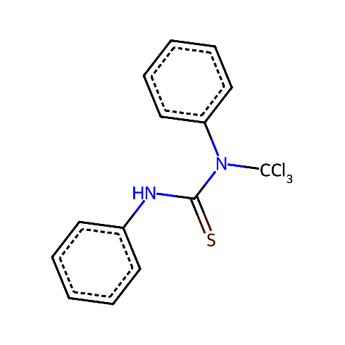 S=C(Nc1ccccc1)N(c1ccccc1)C(Cl)(Cl)Cl